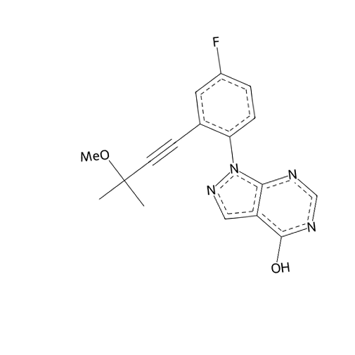 COC(C)(C)C#Cc1cc(F)ccc1-n1ncc2c(O)ncnc21